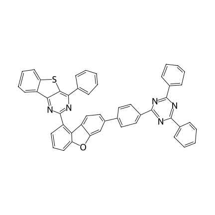 c1ccc(-c2nc(-c3ccccc3)nc(-c3ccc(-c4ccc5c(c4)oc4cccc(-c6nc(-c7ccccc7)c7sc8ccccc8c7n6)c45)cc3)n2)cc1